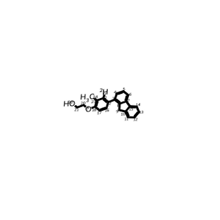 [2H]c1c(-c2cccc3c2Cc2ccccc2-3)ccc(OCCO)c1C